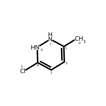 CC1=CC=C(Cl)NN1